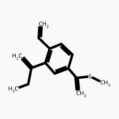 C=Cc1ccc(C(=C)SC)cc1C(=C)CC